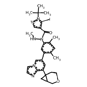 CNN(C(=O)c1cnn(C(C)(C)C)c1I)c1cc(-c2cc(C34CCOCC3C4)c3nccn3c2)c(C)cc1C